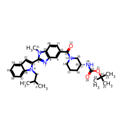 CC(C)Cn1c(-c2nc3cc(C(=O)N4CCC[C@@H](NC(=O)OC(C)(C)C)C4)ccc3n2C)cc2ccccc21